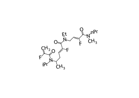 C=C(F)C(=O)N(C(C)C)C(C)C/C=C(\F)C(=O)N(CC)C/C=C(\F)C(=O)N(C)CCC